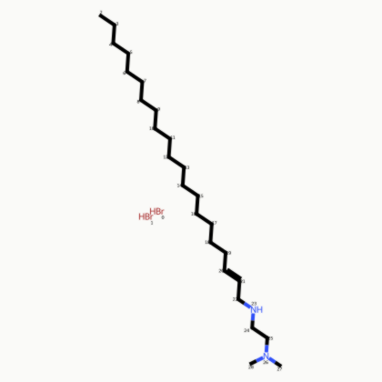 Br.Br.CCCCCCCCCCCCCCCCCCC=CCNCCN(C)C